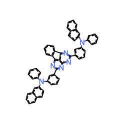 c1ccc(N(c2cccc(-c3nc4c5c(nc(-c6cccc(N(c7ccccc7)c7ccc8ccccc8c7)c6)nc5n3)-c3ccccc3-4)c2)c2ccc3ccccc3c2)cc1